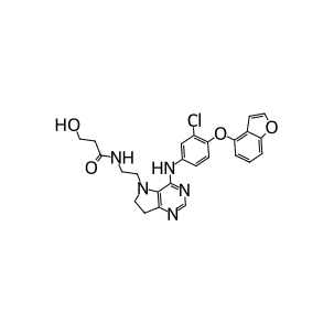 O=C(CCO)NCCN1CCc2ncnc(Nc3ccc(Oc4cccc5occc45)c(Cl)c3)c21